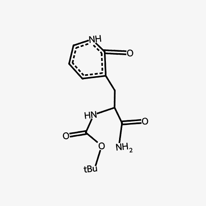 CC(C)(C)OC(=O)NC(Cc1ccc[nH]c1=O)C(N)=O